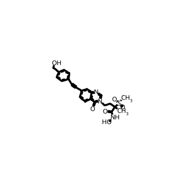 CC(CCn1cnc2cc(C#Cc3ccc(CO)cc3)ccc2c1=O)(C(=O)NO)S(C)(=O)=O